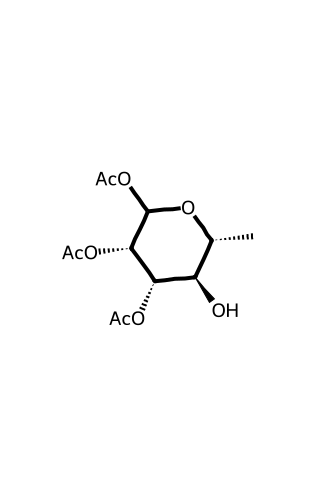 CC(=O)OC1O[C@H](C)[C@@H](O)[C@H](OC(C)=O)[C@@H]1OC(C)=O